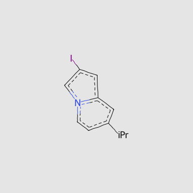 CC(C)c1ccn2cc(I)cc2c1